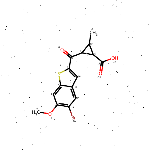 COc1cc2sc(C(=O)C3C(C)C3C(=O)O)cc2cc1Br